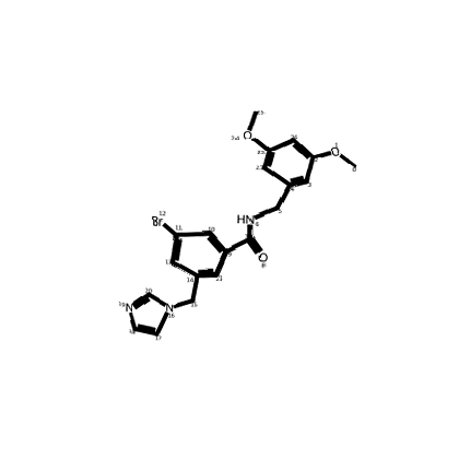 COc1cc(CNC(=O)c2cc(Br)cc(Cn3ccnc3)c2)cc(OC)c1